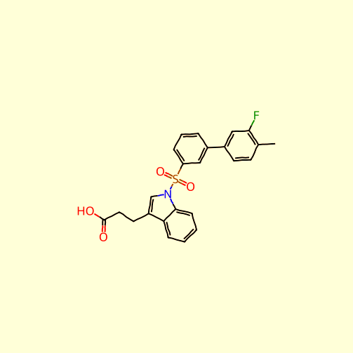 Cc1ccc(-c2cccc(S(=O)(=O)n3cc(CCC(=O)O)c4ccccc43)c2)cc1F